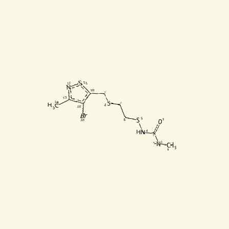 CNC(=O)NSCCSCc1snc(C)c1Br